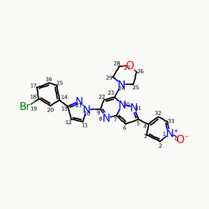 [O-][n+]1ccc(-c2cc3nc(-n4ccc(-c5cccc(Br)c5)n4)cc(N4CCOCC4)n3n2)cc1